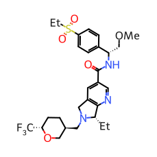 CC[C@H]1c2ncc(C(=O)N[C@@H](COC)c3ccc(S(=O)(=O)CC)cc3)cc2CN1C[C@@H]1CC[C@@H](C(F)(F)F)OC1